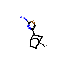 Nc1nc(C2C[C@@H]3CCC2C3)cs1